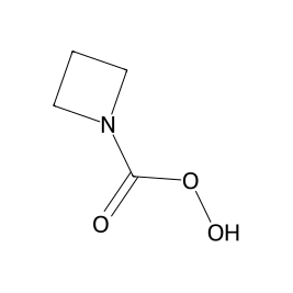 O=C(OO)N1CCC1